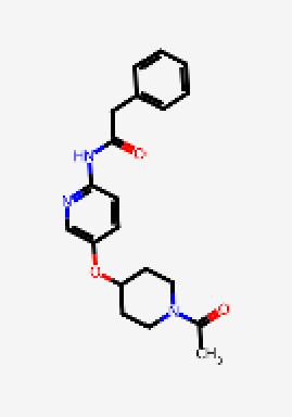 CC(=O)N1CCC(Oc2ccc(NC(=O)Cc3ccccc3)nc2)CC1